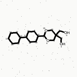 OCC1(CO)COC(C2CCC(C3CCCCC3)CC2)OC1